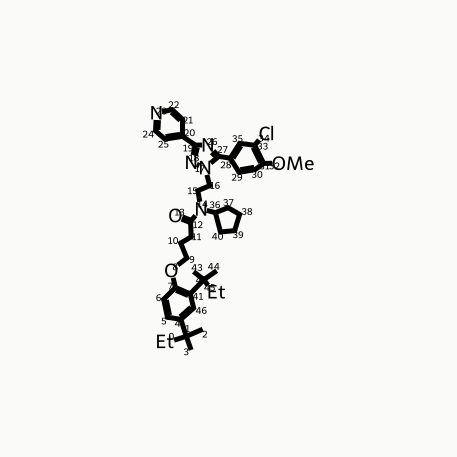 CCC(C)(C)c1ccc(OCCCC(=O)N(CCn2nc(-c3ccncc3)nc2-c2ccc(OC)c(Cl)c2)C2CCCC2)c(C(C)(C)CC)c1